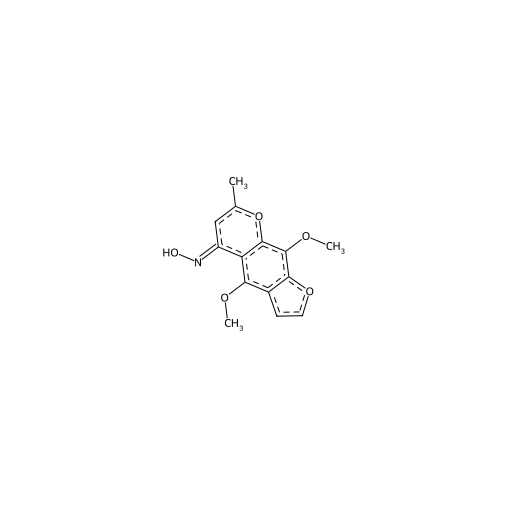 COc1c2occc2c(OC)c2c(=NO)cc(C)oc12